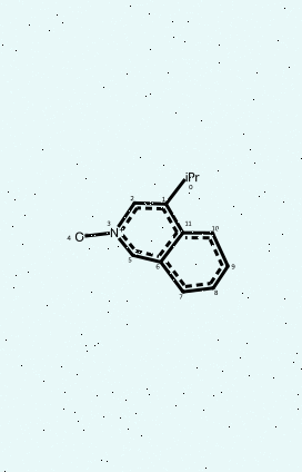 CC(C)c1c[n+]([O-])cc2ccccc12